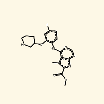 COC(=O)c1sc2ncnc(Nc3ccc(F)cc3O[C@@H]3CCCNC3)c2c1C